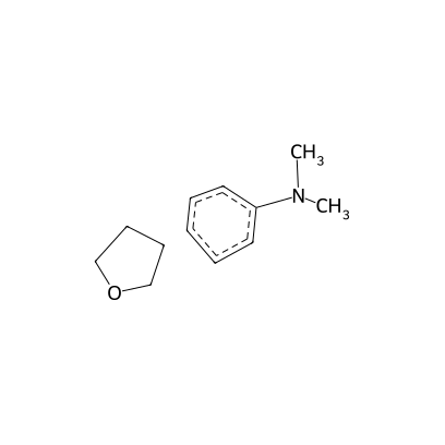 C1CCOC1.CN(C)c1ccccc1